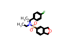 CCN([C@H](C)c1ccc(F)cc1)S(=O)(=O)c1ccc2c(c1)COC2